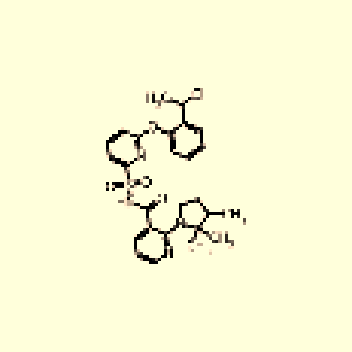 CC(C)c1ccccc1Oc1cccc(S(=O)(=O)NC(=O)c2cccnc2N2CCC(C)C2(C)C)n1